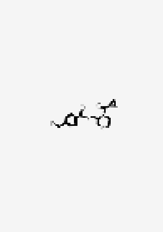 N=Cc1ccc(C(=O)NCC2COCCN2C(=O)C2CC2)cc1